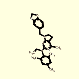 CCN(c1nc(C)c2c(n1)N(Cc1ccc3c(c1)OCO3)CC2)c1c(C)cc(C)cc1C